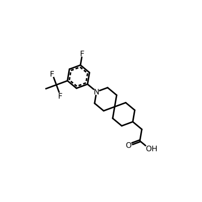 CC(F)(F)c1cc(F)cc(N2CCC3(CCC(CC(=O)O)CC3)CC2)c1